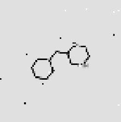 [CH](C1CCCCC1)C1CNCCO1